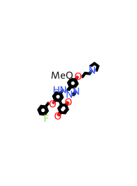 COc1cc2c(Nc3ccc(OCc4cccc(F)c4)c(C4=CC(=O)C=CC4=O)c3)ncnc2cc1OCCCN1CCCC1